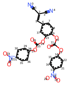 N#CC(C#N)=Cc1ccc(OC(=O)Oc2ccc([N+](=O)[O-])cc2)c(OC(=O)Oc2ccc([N+](=O)[O-])cc2)c1